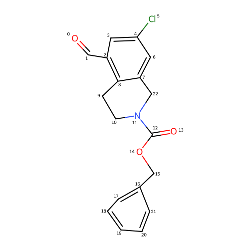 O=Cc1cc(Cl)cc2c1CCN(C(=O)OCc1ccccc1)C2